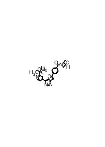 CC(C)(O)c1cc(-c2ncnc3cc(-c4ccc(C(=O)N5C[C@H]6OCC65)cc4)oc23)ccn1